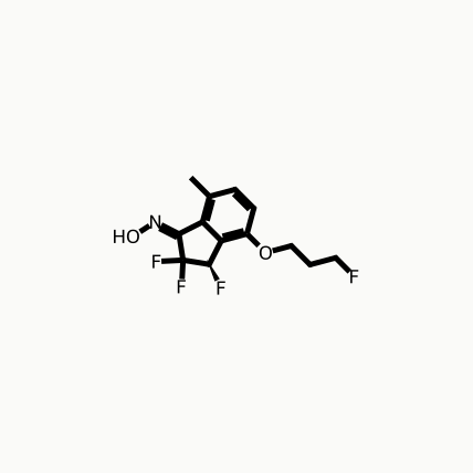 Cc1ccc(OCCCF)c2c1/C(=N/O)C(F)(F)[C@@H]2F